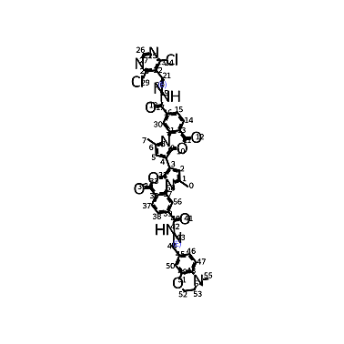 Cc1cc(-c2cc(C)n3c2oc(=O)c2ccc(C(=O)N/N=C/c4c(Cl)ncnc4Cl)cc23)c2oc(=O)c3ccc(C(=O)N/N=C/c4ccc5c(c4)OCCN5C)cc3n12